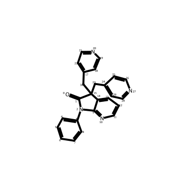 O=C1N(c2ccccc2)c2ncccc2C1(Cc1ccncc1)Cc1ccncc1